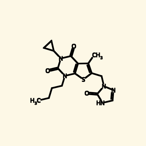 CCCCn1c(=O)n(C2CC2)c(=O)c2c(C)c(Cn3nc[nH]c3=O)sc21